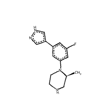 C[C@H]1CNCCN1c1cc(F)cc(-c2cn[nH]c2)c1